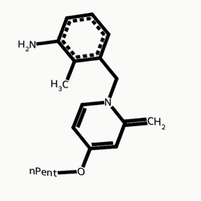 C=C1C=C(OCCCCC)C=CN1Cc1cccc(N)c1C